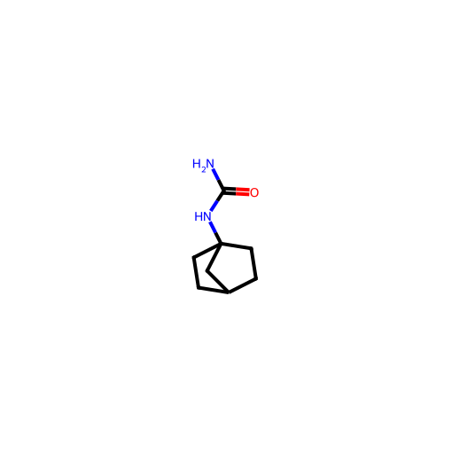 NC(=O)NC12CCC(CC1)C2